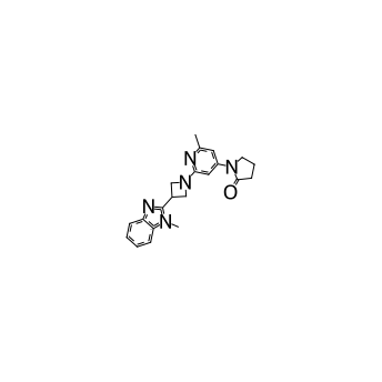 Cc1cc(N2CCCC2=O)cc(N2CC(c3nc4ccccc4n3C)C2)n1